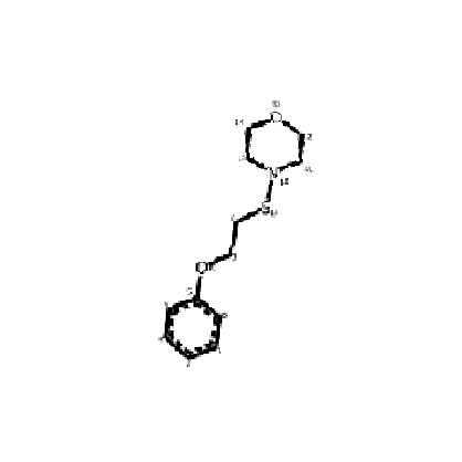 [c]1ccccc1OCCSN1CCOCC1